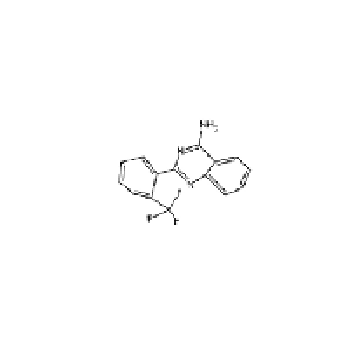 Nc1nc(-c2ccccc2C(F)(F)F)nc2ccccc12